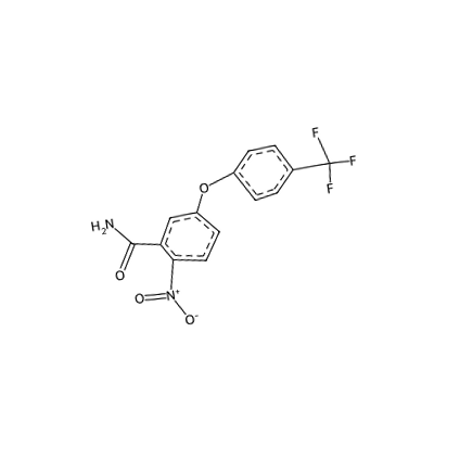 NC(=O)c1cc(Oc2ccc(C(F)(F)F)cc2)ccc1[N+](=O)[O-]